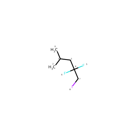 CC(C)CC(F)(F)CI